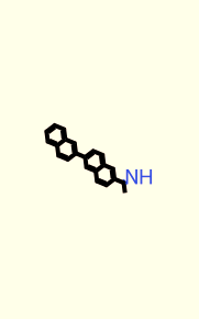 CC(=N)c1ccc2cc(-c3ccc4ccccc4c3)ccc2c1